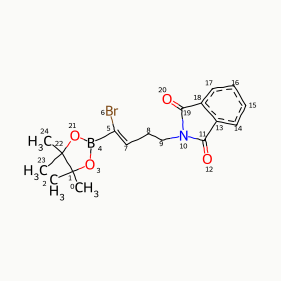 CC1(C)OB(/C(Br)=C/CCN2C(=O)c3ccccc3C2=O)OC1(C)C